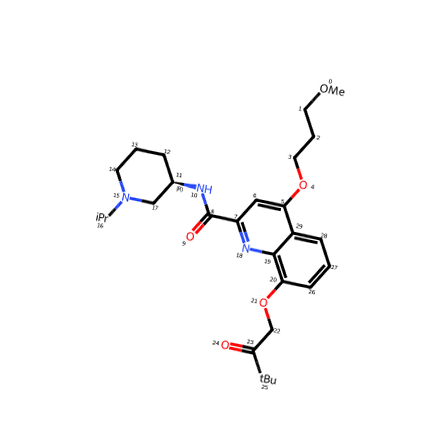 COCCCOc1cc(C(=O)N[C@@H]2CCCN(C(C)C)C2)nc2c(OCC(=O)C(C)(C)C)cccc12